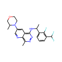 Cc1nnc(NC(C)c2cccc(C(F)F)c2F)c2cc(N3CCOCC3C)cnc12